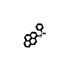 CN(Oc1ccc2ccc3cccc4ccc1c2c34)c1ccccc1